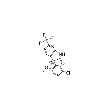 COc1ccc(Cl)cc1[C@@]1(C)C(=O)Nc2nc(C(F)(F)F)ccc21